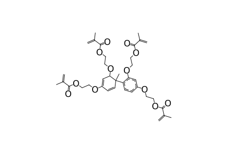 C=C(C)C(=O)OCCOC1=CC(OCCOC(=O)C(=C)C)C(C)(c2ccc(OCCOC(=O)C(=C)C)cc2OCCOC(=O)C(=C)C)C=C1